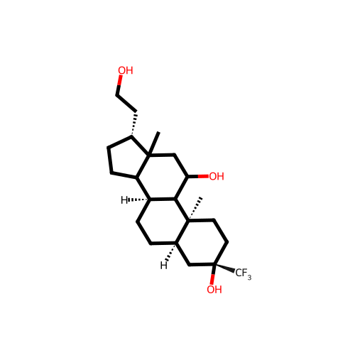 CC12CC(O)C3[C@@H](CC[C@@H]4C[C@](O)(C(F)(F)F)CC[C@]34C)C1CC[C@@H]2CCO